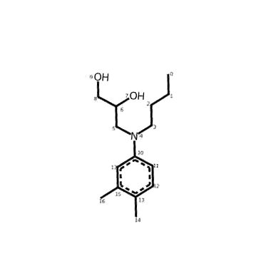 CCCCN(CC(O)CO)c1ccc(C)c(C)c1